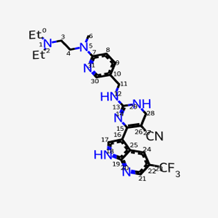 CCN(CC)CCN(C)c1ccc(CNC2=NC(c3c[nH]c4ncc(C(F)(F)F)cc34)=C(C#N)CN2)cn1